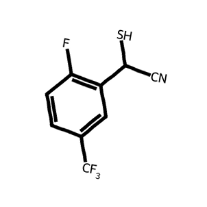 N#CC(S)c1cc(C(F)(F)F)ccc1F